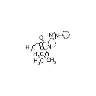 CCOC(=O)C1c2ncn(-c3ccccc3)c2CCN1C(=O)OC(C)(C)C